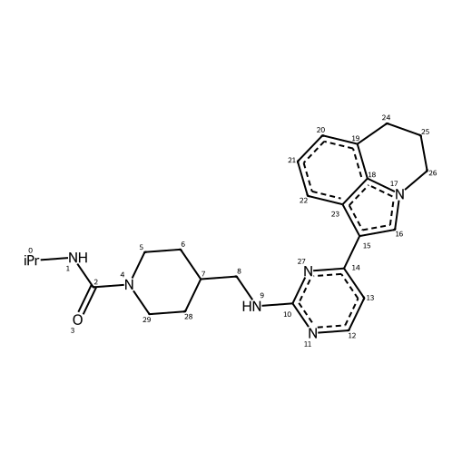 CC(C)NC(=O)N1CCC(CNc2nccc(-c3cn4c5c(cccc35)CCC4)n2)CC1